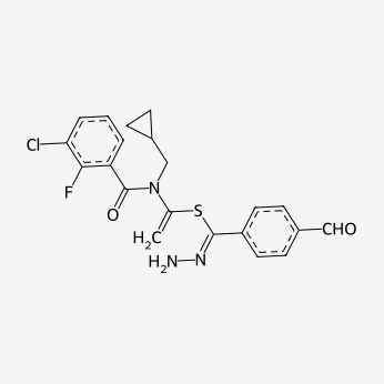 C=C(S/C(=N\N)c1ccc(C=O)cc1)N(CC1CC1)C(=O)c1cccc(Cl)c1F